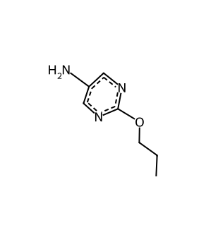 CCCOc1ncc(N)cn1